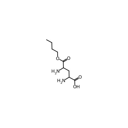 CCCCOC(=O)C(N)CC(N)C(=O)O